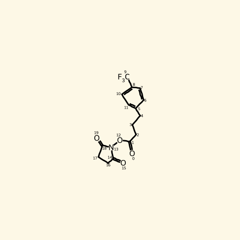 O=C(CCCc1ccc(C(F)(F)F)cc1)ON1C(=O)CCC1=O